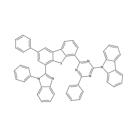 c1ccc(-c2cc(-c3nc4ccccc4n3-c3ccccc3)c3sc4c(-c5nc(-c6ccccc6)nc(-n6c7ccccc7c7ccccc76)n5)cccc4c3c2)cc1